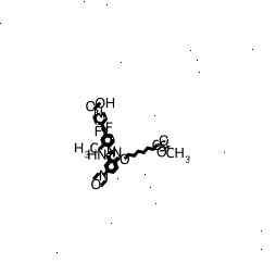 CCS(=O)(=O)OCCCCCCOc1nnc(NC(C)c2cccc(C(F)(F)C3CCN(C(=O)O)CC3)c2)c2cc(N3CCOCC3)ccc12